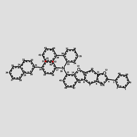 c1ccc(-c2nc3cc4c(cc3o2)oc2c(N(c3ccc(-c5ccc6ccccc6c5)cc3)c3ccccc3-c3ccccc3)cccc24)cc1